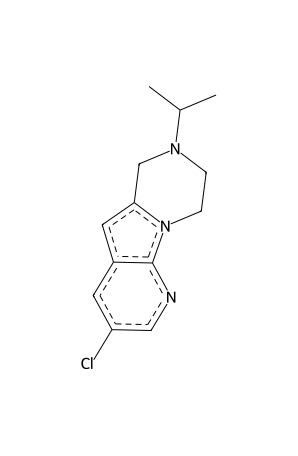 CC(C)N1CCn2c(cc3cc(Cl)cnc32)C1